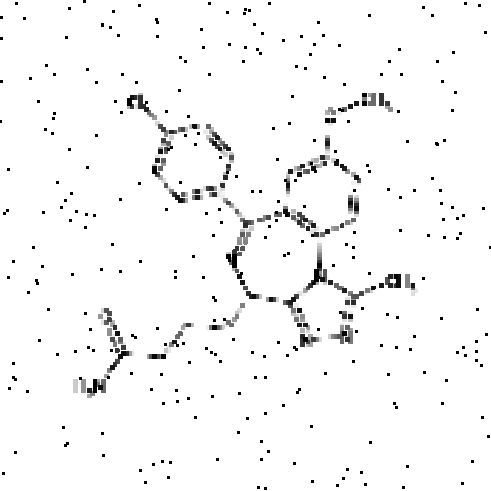 COc1ccc2c(c1)C(c1ccc(Cl)cc1)=N[C@@H](CCCC(N)=O)c1nnc(C)n1-2